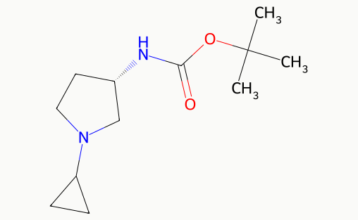 CC(C)(C)OC(=O)N[C@H]1CCN(C2CC2)C1